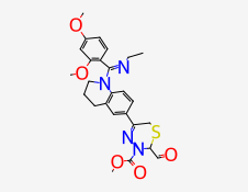 CCN=C(c1ccc(OC)cc1OC)N1CCCc2cc(C3=NN(C(=O)OC)C(C=O)SC3)ccc21